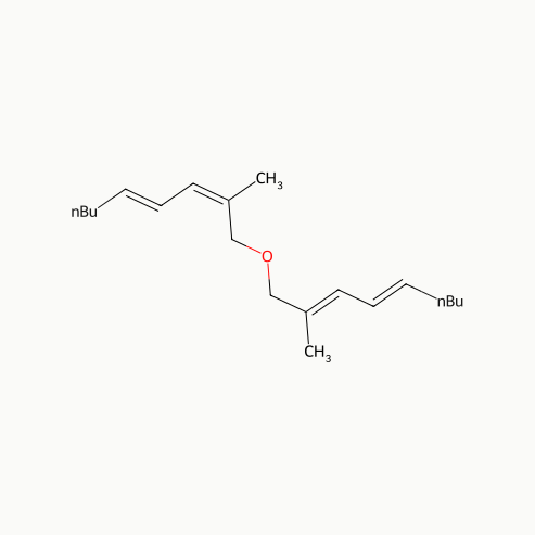 CCCCC=CC=C(C)COCC(C)=CC=CCCCC